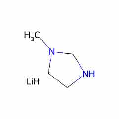 CN1CCNC1.[LiH]